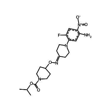 CC(C)OC(=O)N1CCC(ON=C2CCN(c3cc(N)c([N+](=O)[O-])cc3F)CC2)CC1